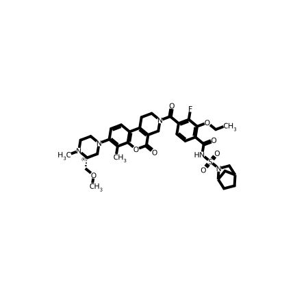 CCOc1c(C(=O)NS(=O)(=O)N2CC3CCC2C3)ccc(C(=O)N2CCc3c(c(=O)oc4c(C)c(N5CCN(C)[C@@H](COC)C5)ccc34)C2)c1F